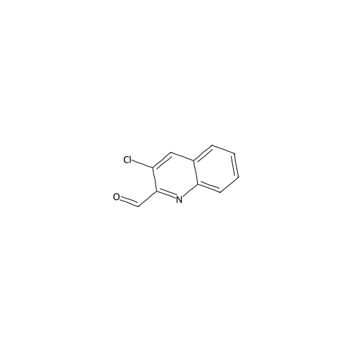 O=Cc1nc2ccccc2cc1Cl